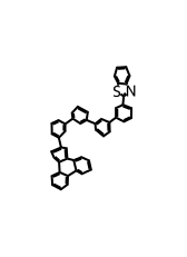 c1cc(-c2cccc(-c3cccc(-c4nc5ccccc5s4)c3)c2)cc(-c2cccc(-c3ccc4c5ccccc5c5ccccc5c4c3)c2)c1